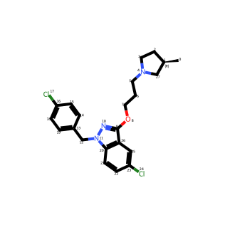 C[C@@H]1CCN(CCCOc2nn(Cc3ccc(Cl)cc3)c3ccc(Cl)cc23)C1